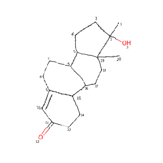 CC1(O)CCC2C3CCC4=CC(=O)CCC4C3CCC21C